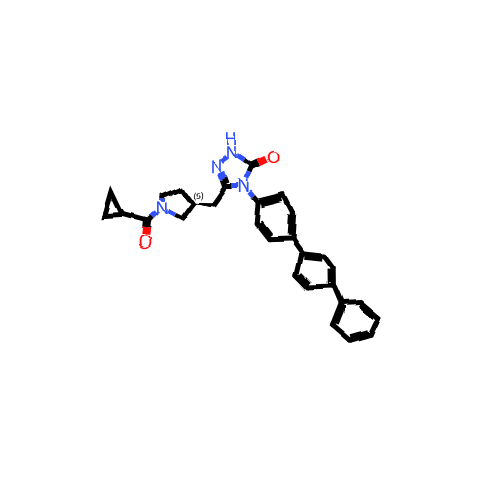 O=C(C1CC1)N1CC[C@@H](Cc2n[nH]c(=O)n2-c2ccc(-c3ccc(-c4ccccc4)cc3)cc2)C1